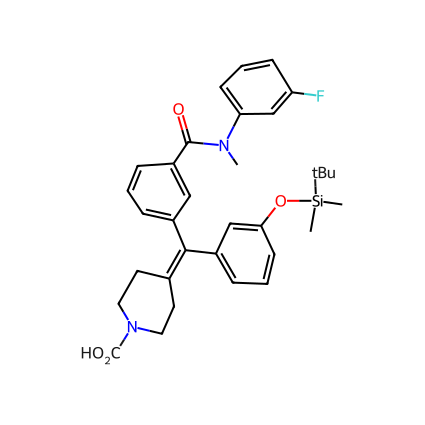 CN(C(=O)c1cccc(C(=C2CCN(C(=O)O)CC2)c2cccc(O[Si](C)(C)C(C)(C)C)c2)c1)c1cccc(F)c1